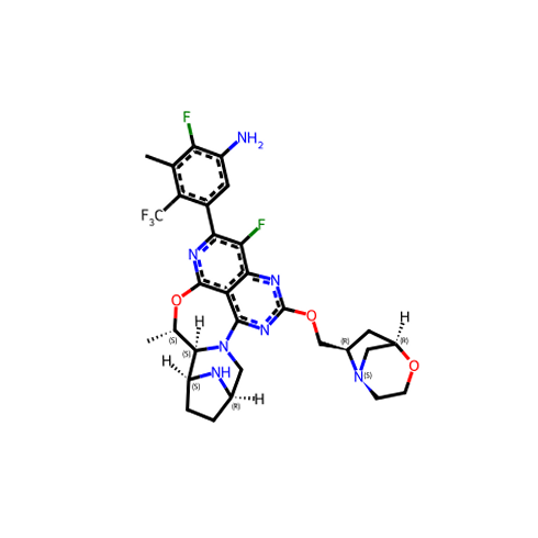 Cc1c(F)c(N)cc(-c2nc3c4c(nc(OC[C@H]5C[C@@H]6C[N@@]5CCO6)nc4c2F)N2C[C@H]4CC[C@H](N4)[C@H]2[C@H](C)O3)c1C(F)(F)F